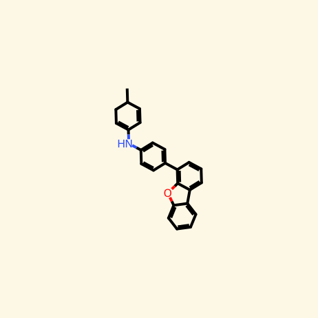 CC1C=CC(Nc2ccc(-c3cccc4c3oc3ccccc34)cc2)=CC1